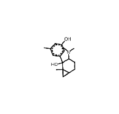 Cc1cc(O)cc(C2(O)C(N(C)C)CCC3CC32C)c1